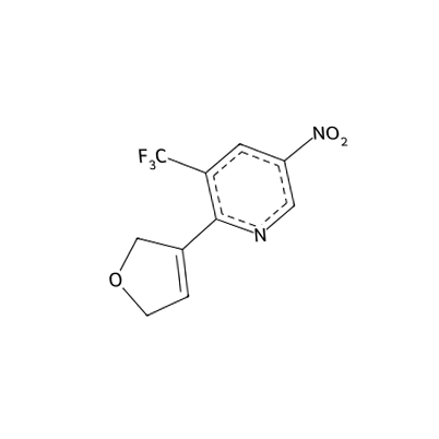 O=[N+]([O-])c1cnc(C2=CCOC2)c(C(F)(F)F)c1